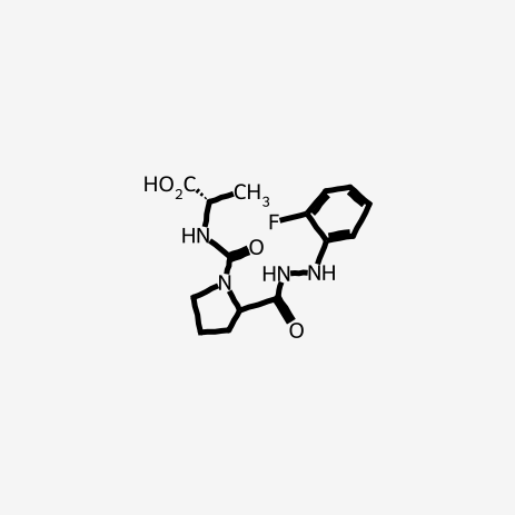 C[C@H](NC(=O)N1CCCC1C(=O)NNc1ccccc1F)C(=O)O